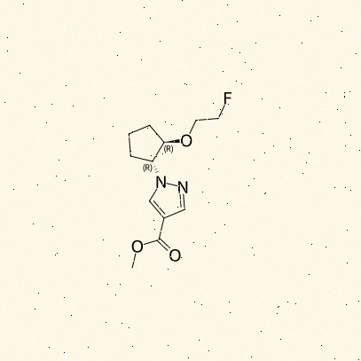 COC(=O)c1cnn([C@@H]2CCC[C@H]2OCCF)c1